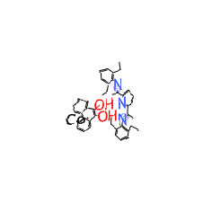 CCc1cccc(CC)c1/N=C(\C)c1cccc(/C(C)=N/c2c(CC)cccc2CC)n1.Oc1c(O)c2ccccc2c2ccccc12.[Co]